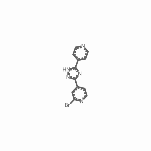 Brc1cc(-c2n[nH]c(-c3ccncc3)n2)ccn1